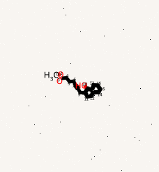 COC(=O)CCCC#CCc1ccc2ccccc2c1O